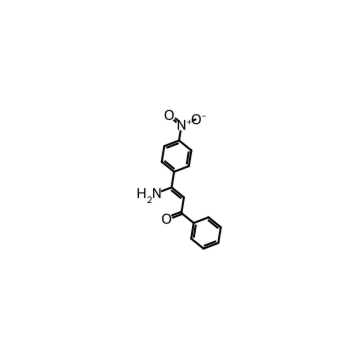 N/C(=C\C(=O)c1ccccc1)c1ccc([N+](=O)[O-])cc1